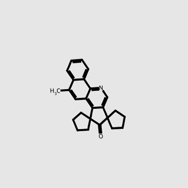 Cc1cc2c3c(cnc2c2ccccc12)C1(CCCC1)C(=O)C31CCCC1